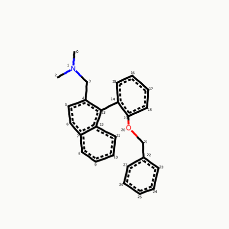 CN(C)Cc1ccc2ccccc2c1-c1ccccc1OCc1ccccc1